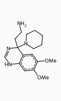 COc1cc2c(cc1OC)C(CCN)(N1CCCCC1)N=CN2